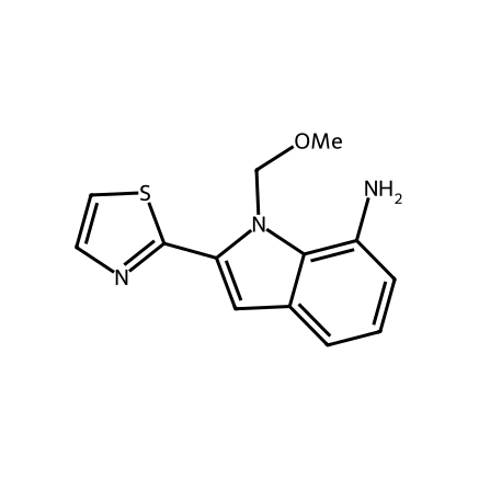 COCn1c(-c2nccs2)cc2cccc(N)c21